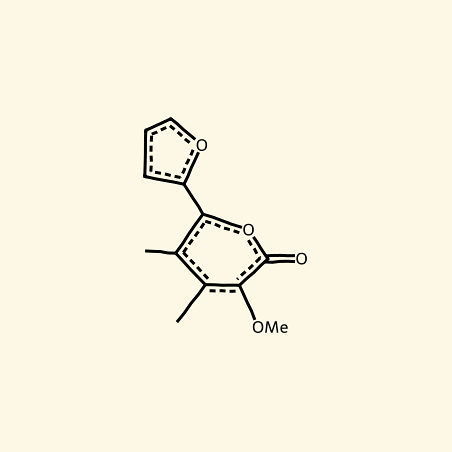 COc1c(C)c(C)c(-c2ccco2)oc1=O